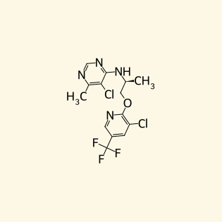 Cc1ncnc(N[C@@H](C)COc2ncc(C(F)(F)F)cc2Cl)c1Cl